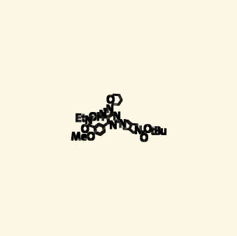 CCN(O)C(=O)c1cc(-c2nc(N3C=C4CN(C(=O)OC(C)(C)C)CC4C3)nc3c2ncn3C2CCCCO2)ccc1OC